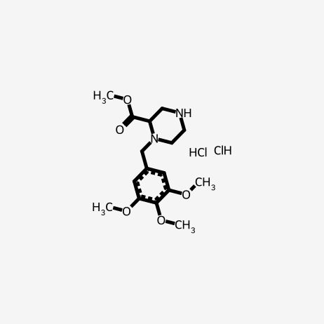 COC(=O)C1CNCCN1Cc1cc(OC)c(OC)c(OC)c1.Cl.Cl